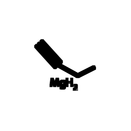 C#CCC.[MgH2]